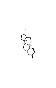 CC[C@H]1CC[C@H]2[C@@H]3CCC4CC(=O)C=C[C@]4(C)[C@H]3CC[C@]12C